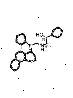 C[C@H](NCPc1ccccc1-c1cc2ccccc2c2ccccc12)[C@H](O)c1ccccc1